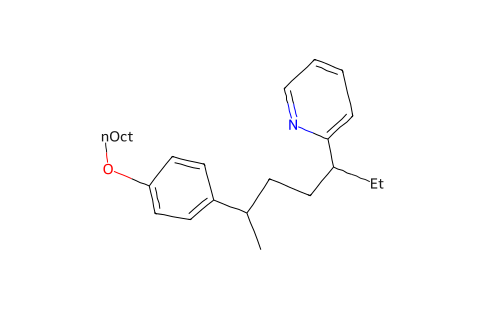 CCCCCCCCOc1ccc(C(C)CCC(CC)c2ccccn2)cc1